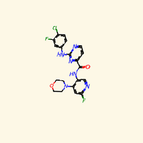 O=C(Nc1cnc(F)cc1N1CCOCC1)c1ccnc(Nc2ccc(Cl)c(F)c2)n1